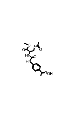 COC(=O)C(CSC(C)=O)NC(=O)Nc1ccc(C(C)=NO)cc1